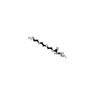 NCCOCCOCCOC(=O)NNN